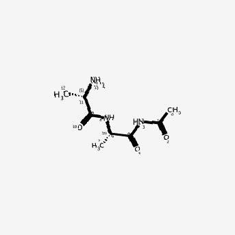 CC(=O)NC(=O)[C@H](C)NC(=O)[C@H](C)N